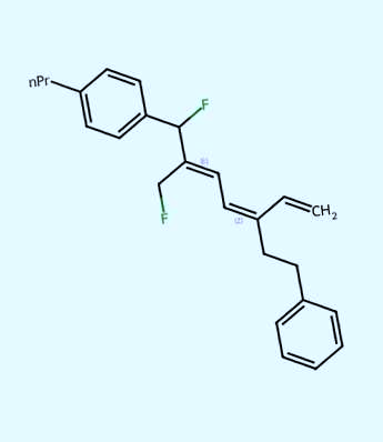 C=C/C(=C\C=C(/CF)C(F)c1ccc(CCC)cc1)CCc1ccccc1